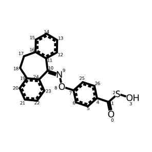 O=C(SO)c1ccc(ON=C2c3ccccc3CCc3ccccc32)cc1